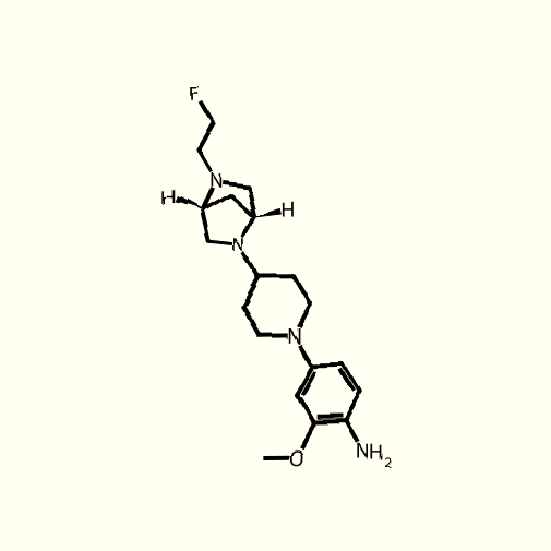 COc1cc(N2CCC(N3C[C@H]4C[C@@H]3CN4CCF)CC2)ccc1N